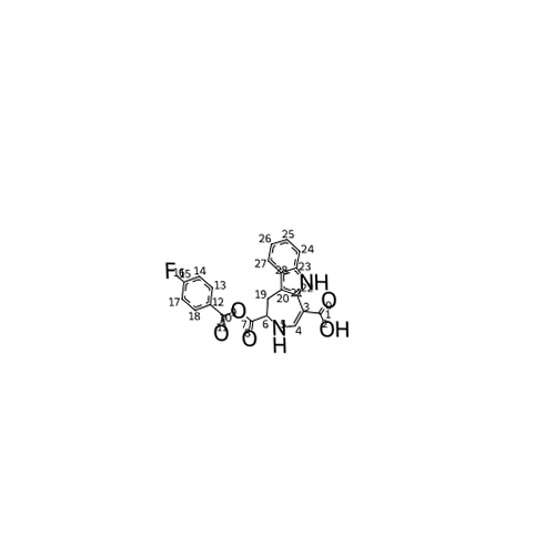 O=C(O)C1=CNC(C(=O)OC(=O)c2ccc(F)cc2)Cc2c1[nH]c1ccccc21